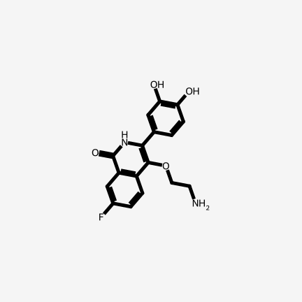 NCCOc1c(-c2ccc(O)c(O)c2)[nH]c(=O)c2cc(F)ccc12